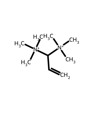 C=CC([N+](C)(C)C)[N+](C)(C)C